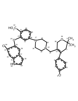 CC1(C)CC(c2ccc(Cl)cc2)=C(CN2CCN(c3ccc(C(=O)O)c(Oc4cc5cc[nH]c5cc4Cl)c3)CC2)CO1